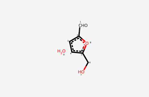 O.O=Cc1ccc(CO)o1